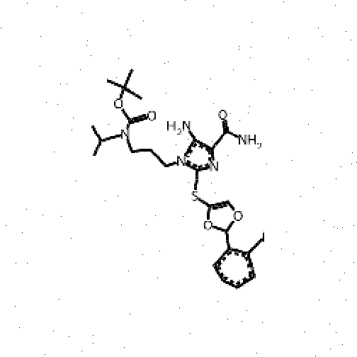 CC(C)N(CCCn1c(SC2=COC(c3ccccc3I)O2)nc(C(N)=O)c1N)C(=O)OC(C)(C)C